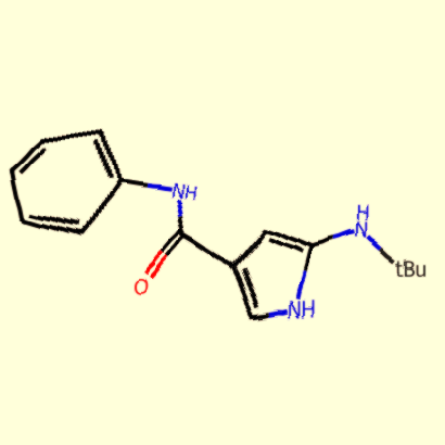 CC(C)(C)Nc1cc(C(=O)Nc2ccccc2)c[nH]1